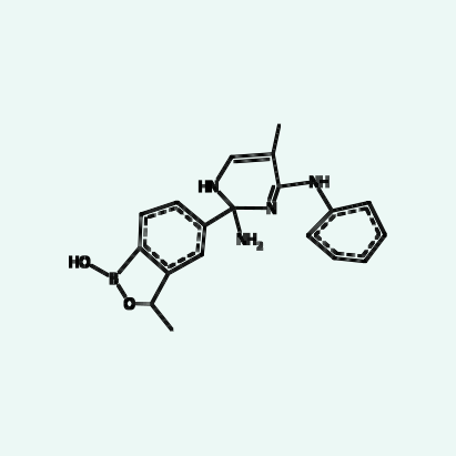 CC1=CNC(N)(c2ccc3c(c2)C(C)OB3O)N=C1Nc1ccccc1